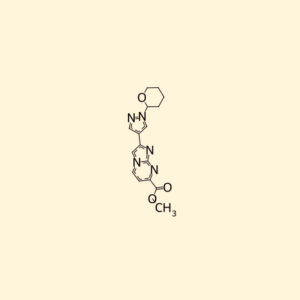 COC(=O)c1ccn2cc(-c3cnn(C4CCCCO4)c3)nc2n1